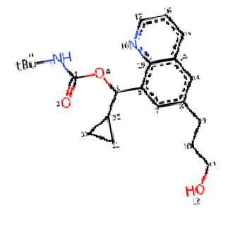 CC(C)(C)NC(=O)OC(c1cc(CCCO)cc2cccnc12)C1CC1